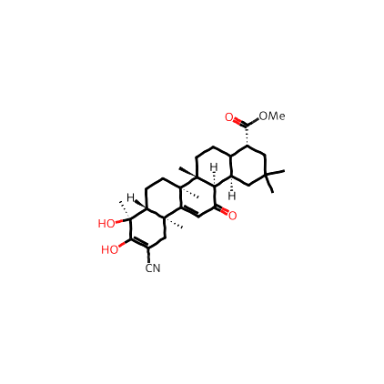 COC(=O)[C@@H]1CC(C)(C)C[C@@H]2C1CC[C@]1(C)[C@@H]2C(=O)C=C2[C@@]3(C)CC(C#N)=C(O)[C@@](C)(O)[C@@H]3CC[C@]21C